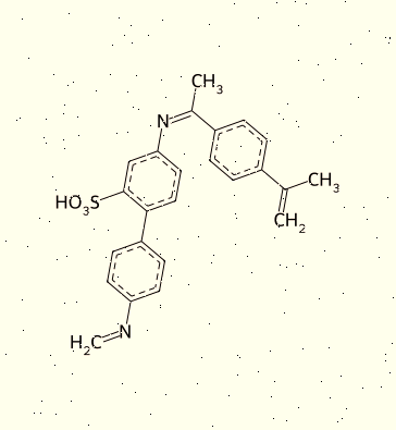 C=Nc1ccc(-c2ccc(N=C(C)c3ccc(C(=C)C)cc3)cc2S(=O)(=O)O)cc1